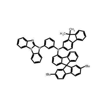 CC(C)(C)c1ccc2c(c1)C1(c3cc(C(C)(C)C)ccc3-2)c2ccccc2-c2c(N(c3cccc(-n4c5ccccc5n5c6ccccc6nc45)c3)c3ccc4c(c3)C(C)(C)c3ccccc3-4)cccc21